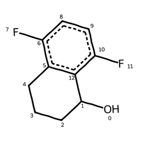 OC1CCCc2c(F)ccc(F)c21